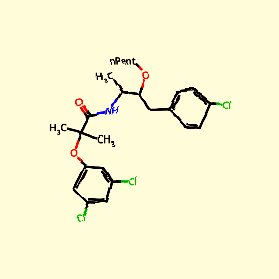 CCCCCOC(Cc1ccc(Cl)cc1)C(C)NC(=O)C(C)(C)Oc1cc(Cl)cc(Cl)c1